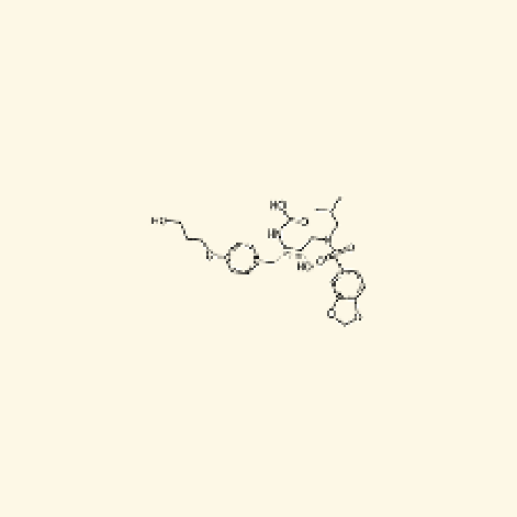 CC(C)CN(C[C@H](O)[C@H](Cc1ccc(OCCCO)cc1)NC(=O)O)S(=O)(=O)c1ccc2c(c1)OCO2